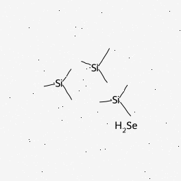 C[Si](C)C.C[Si](C)C.C[Si](C)C.[SeH2]